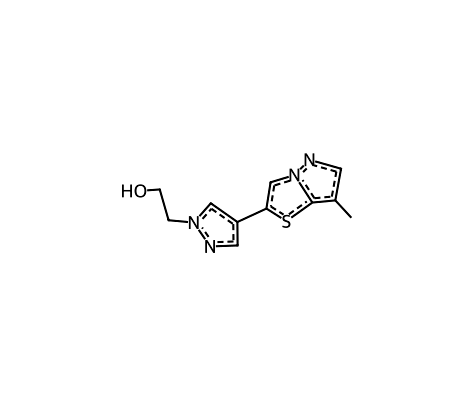 Cc1cnn2cc(-c3cnn(CCO)c3)sc12